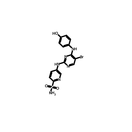 NS(=O)(=O)c1ccc(Nc2ncc(Br)c(Nc3ccc(O)cc3)n2)cn1